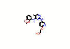 Cc1cnc(Nc2ccc(OCCO)nc2)nc1Nc1cccc2c1OCO2